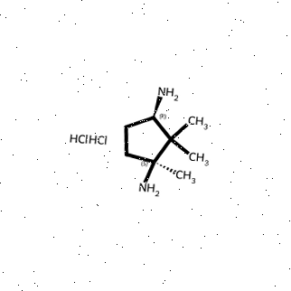 CC1(C)[C@H](N)CC[C@]1(C)N.Cl.Cl